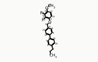 CCCc1ccc(-c2ccc(COc3ccc(OC)c(F)c3F)cc2)cc1